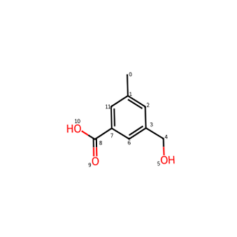 Cc1cc(CO)cc(C(=O)O)c1